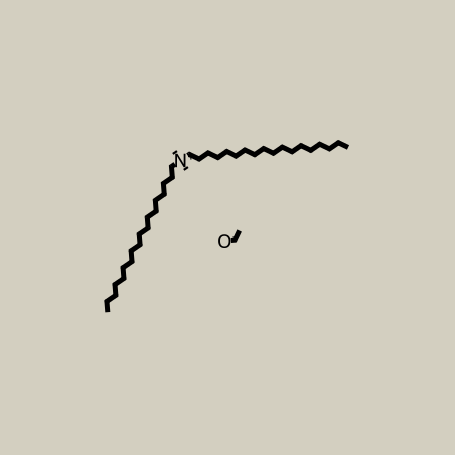 CCCCCCCCCCCCCCCCCC[N+](C)(C)CCCCCCCCCCCCCCCCCC.CC[O-]